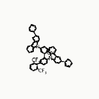 N#Cc1ccc(-n2c3ccccc3c3cc(-c4ccccc4)ccc32)cc1-c1cc(-c2c(C(F)(F)F)cccc2C(F)(F)F)ccc1-n1c2ccccc2c2cc(-c3ccccc3)ccc21